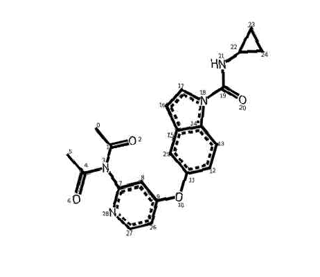 CC(=O)N(C(C)=O)c1cc(Oc2ccc3c(ccn3C(=O)NC3CC3)c2)ccn1